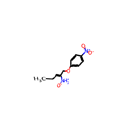 CCC=C(COc1ccc([N+](=O)[O-])cc1)[NH2+][O-]